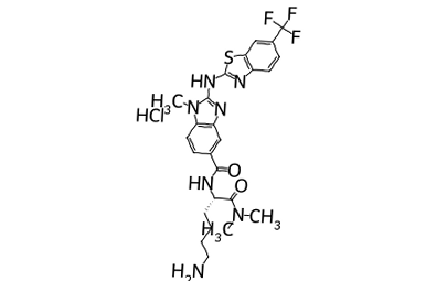 CN(C)C(=O)[C@H](CCCCN)NC(=O)c1ccc2c(c1)nc(Nc1nc3ccc(C(F)(F)F)cc3s1)n2C.Cl